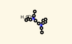 CC1(C)c2ccccc2-c2ccc(N(c3ccc(-c4ccccc4)cc3)c3ccc(-c4ccc5c(c4)c4c6ccc7cccc8ccc(cc4n5-c4ccc(-c5ccccc5)cc4)c6c87)cc3)cc21